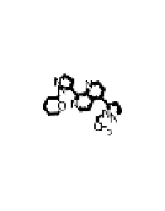 FC(F)(F)Cn1nccc1-c1ccnc2c(-c3ccnn3C3CCCCO3)nccc12